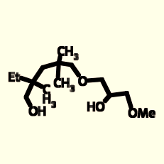 CCC(C)(CO)CC(C)(C)COCC(O)COC